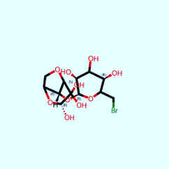 OC1[C@@H](O)C(CBr)O[C@@H](O[C@@H]2C3COC2C(O)(O)[C@H](O)O3)[C@H]1O